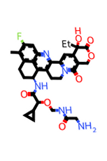 CCC1(O)C(=O)OCc2c1cc1n(c2=O)CCc2c-1nc1cc(F)c(C)c3c1c2[C@@H](NC(=O)C(OCNC(=O)CN)C1CC1)CC3